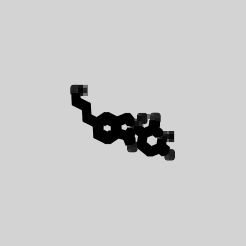 O=C1CCC([N+]2([O-])Cc3cc(CCCO)ccc3C2=O)C(=O)N1